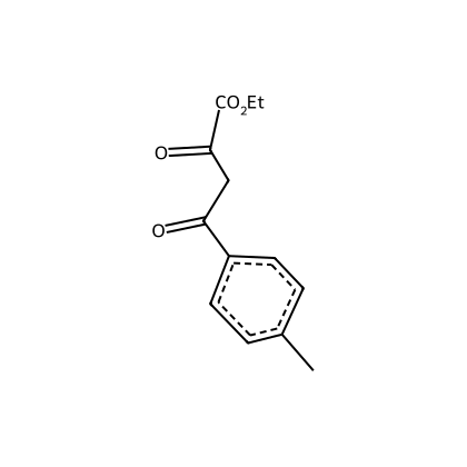 CCOC(=O)C(=O)CC(=O)c1ccc(C)cc1